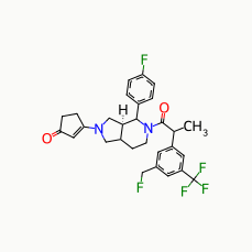 CC(C(=O)N1CCC2CN(C3=CC(=O)CC3)C[C@H]2C1c1ccc(F)cc1)c1cc(CF)cc(C(F)(F)F)c1